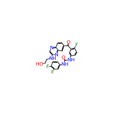 O=C(Nc1ccc(F)c(F)c1)Nc1ccc(F)c(C(=O)c2ccc3ncc(NCCO)nc3c2)c1